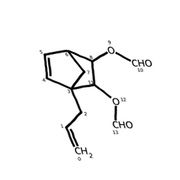 C=CCC12C=CC(C1)C(OC=O)C2OC=O